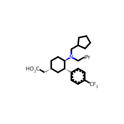 CC(C)CN(CC1CCCC1)[C@@H]1CC[C@@H](CC(=O)O)C[C@H]1c1ccc(C(F)(F)F)cc1